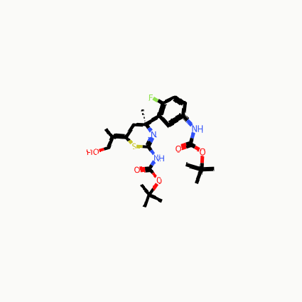 C/C(CO)=C1\C[C@@](C)(c2cc(NC(=O)OC(C)(C)C)ccc2F)N=C(NC(=O)OC(C)(C)C)S1